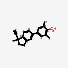 C#CC1(C)CCc2cc(-c3cc(C)c(O)c(C)c3)ccc21